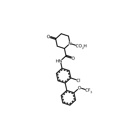 O=C1CCN(C(=O)O)C(C(=O)Nc2ccc(-c3ccccc3OC(F)(F)F)c(Cl)c2)C1